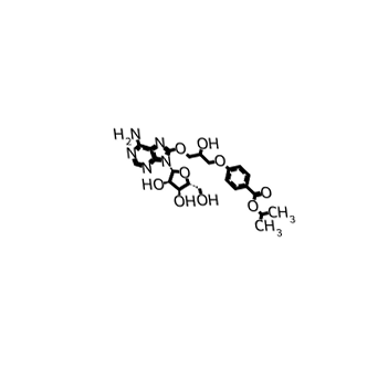 CC(C)OC(=O)c1ccc(OCC(O)COc2nc3c(N)ncnc3n2[C@@H]2O[C@H](CO)[C@@H](O)[C@H]2O)cc1